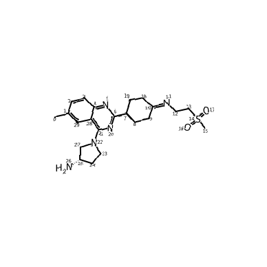 Cc1ccc2nc(C3CCC(=NCCS(C)(=O)=O)CC3)nc(N3CC[C@H](N)C3)c2c1